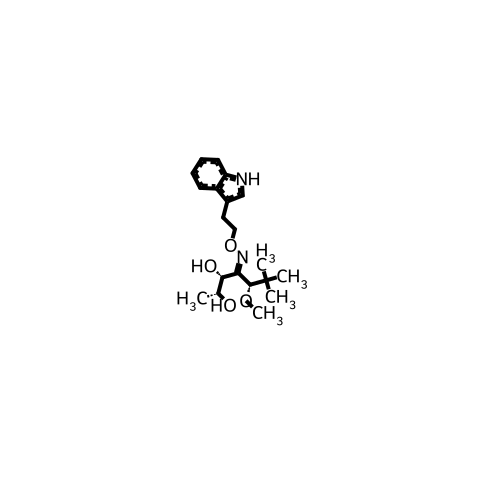 CO[C@H](/C(=N/OCCc1c[nH]c2ccccc12)[C@@H](O)[C@@H](C)O)C(C)(C)C